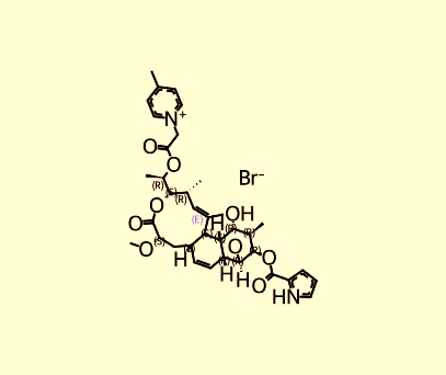 CO[C@H]1C[C@H]2C=C[C@H]3[C@H]4O[C@]2(/C(C)=C/[C@@H](C)[C@@H]([C@@H](C)OC(=O)C[n+]2ccc(C)cc2)OC1=O)[C@@H]3[C@H](O)[C@@H](C)[C@H]4OC(=O)c1ccc[nH]1.[Br-]